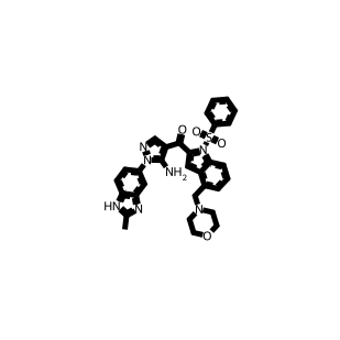 Cc1nc2cc(-n3ncc(C(=O)c4cc5c(CN6CCOCC6)cccc5n4S(=O)(=O)c4ccccc4)c3N)ccc2[nH]1